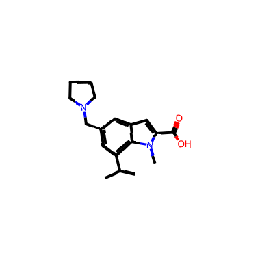 CC(C)c1cc(CN2CCCC2)cc2cc(C(=O)O)n(C)c12